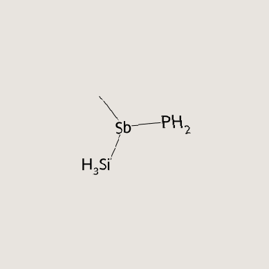 [CH3][Sb]([SiH3])[PH2]